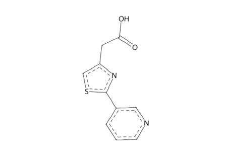 O=C(O)Cc1csc(-c2cccnc2)n1